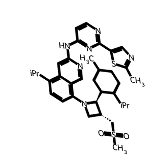 Cc1ncc(-c2nccc(Nc3cc4c(C(C)C)ccc(N5C[C@@H](CS(C)(=O)=O)[C@@H]5C5CC(C)CCC5C(C)C)c4cn3)n2)s1